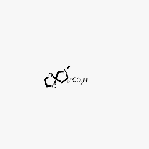 CN1CC2(C[C@H]1C(=O)O)OCCO2